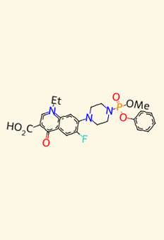 CCn1cc(C(=O)O)c(=O)c2cc(F)c(N3CCN(P(=O)(OC)Oc4ccccc4)CC3)cc21